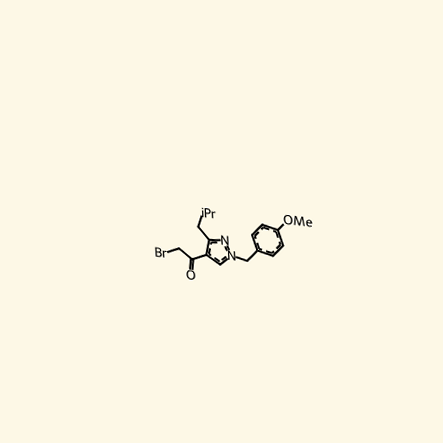 COc1ccc(Cn2cc(C(=O)CBr)c(CC(C)C)n2)cc1